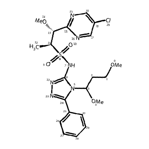 COCCC(OC)n1c(NS(=O)(=O)[C@@H](C)[C@H](OC)c2ncc(Cl)cn2)nnc1-c1ccccc1